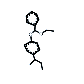 CCOC(Oc1ccc(C(C)CC)cc1)c1ccccc1